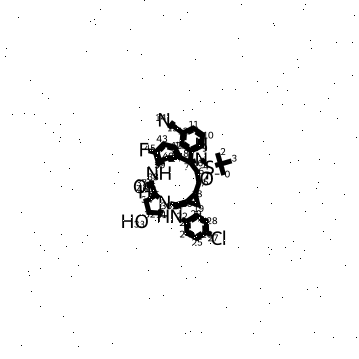 CC(C)(C)[S@@+]([O-])NC1(c2cccc(C#N)c2)CCC2C/C2=C(\Nc2ccc(Cl)cc2)N2C[C@@H](O)C[C@H]2C(=O)Nc2cc1ccc2F